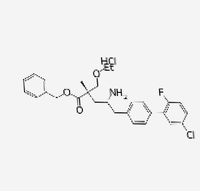 CCOC[C@](C)(C[C@H](N)Cc1ccc(-c2cc(Cl)ccc2F)cc1)C(=O)OCc1ccccc1.Cl